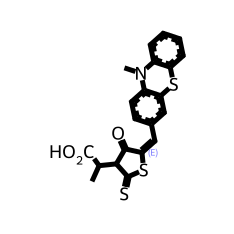 CC(C(=O)O)C1C(=O)/C(=C\c2ccc3c(c2)Sc2ccccc2N3C)SC1=S